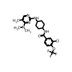 Cc1cnc(NC2CCC(NC(=O)c3ccc(OC(F)(F)F)c(Cl)c3)CC2)nc1N(C)C